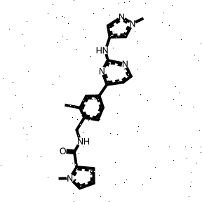 Cc1cc(-c2ccnc(Nc3cnn(C)c3)n2)ccc1CNC(=O)c1cccn1C